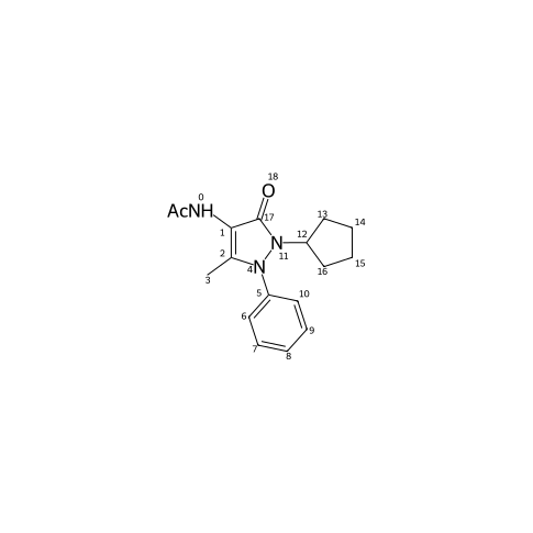 CC(=O)Nc1c(C)n(-c2ccccc2)n(C2CCCC2)c1=O